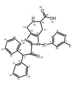 Cc1cccc(Cn2c(C(=O)C(c3ccccc3)c3ccccc3)nc3c2CC(C(=O)O)NC3)c1